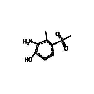 Cc1c(S(C)(=O)=O)ccc(O)c1N